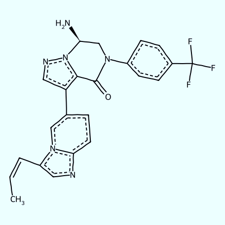 C/C=C\c1cnc2ccc(-c3cnn4c3C(=O)N(c3ccc(C(F)(F)F)cc3)C[C@@H]4N)cn12